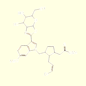 CC/C=C\CC1C(CC(=O)OC)CCC1Cn1cc(C2=NC3C(O2)OC(CO)C(O)C3O)c2ccc(OC)cc21